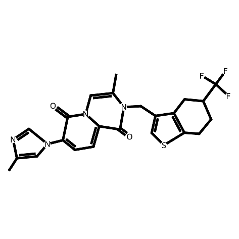 Cc1cn(-c2ccc3c(=O)n(Cc4csc5c4CC(C(F)(F)F)CC5)c(C)cn3c2=O)cn1